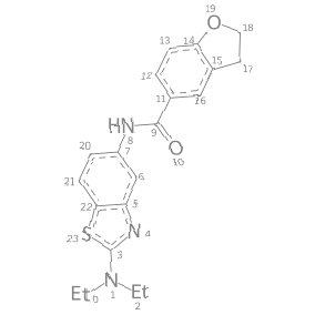 CCN(CC)c1nc2cc(NC(=O)c3ccc4c(c3)CCO4)ccc2s1